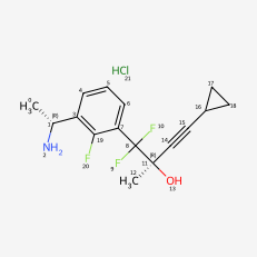 C[C@@H](N)c1cccc(C(F)(F)[C@](C)(O)C#CC2CC2)c1F.Cl